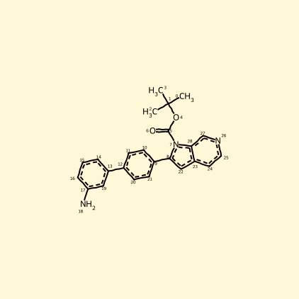 CC(C)(C)OC(=O)n1c(-c2ccc(-c3cccc(N)c3)cc2)cc2ccncc21